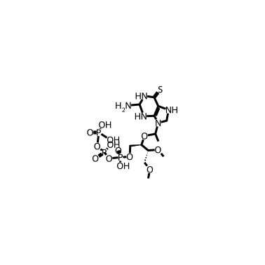 COC[C@@H](OC)[C@@H](COP(=O)(O)OP(=O)(O)OP(=O)(O)O)OC(C)N1CNC2=C1NC(N)NC2=S